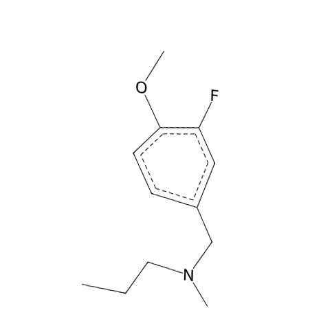 CCCN(C)Cc1ccc(OC)c(F)c1